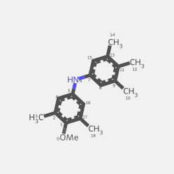 COc1c(C)cc(Nc2cc(C)c(C)c(C)c2)cc1C